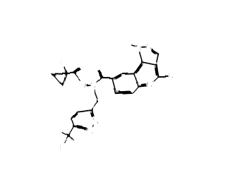 CN(C(=O)C1(F)CC1)N(Cc1ccc(C(F)(F)F)nn1)C(=O)c1ccc2nc(N)c3cnn(C)c3c2c1